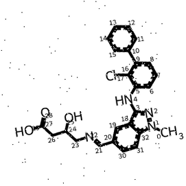 Cn1nc(Nc2cccc(-c3ccccc3)c2Cl)c2cc(C=NCC(O)CC(=O)O)ccc21